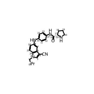 CC(C)Cn1cc(C#N)c2cc(Nc3ccc(NC(=O)[C@@H]4CCCN4)cc3)ccc21